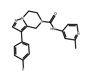 Cc1cc(NC(=O)N2CCn3ncc(-c4ccc(F)cc4)c3C2)ccn1